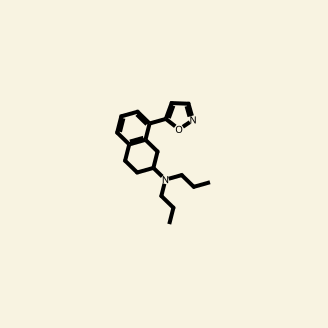 CCCN(CCC)C1CCc2cccc(-c3ccno3)c2C1